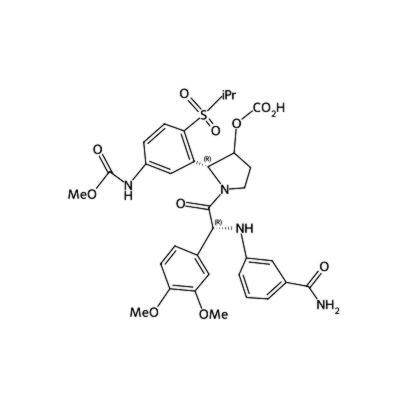 COC(=O)Nc1ccc(S(=O)(=O)C(C)C)c([C@@H]2C(OC(=O)O)CCN2C(=O)[C@H](Nc2cccc(C(N)=O)c2)c2ccc(OC)c(OC)c2)c1